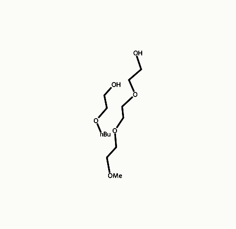 CCCCOCCO.COCCOCCOCCO